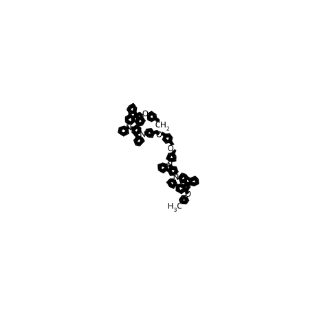 C=Cc1ccc(OCCC2(c3ccccc3)c3ccccc3-c3ccc(N(c4ccccc4)c4ccc5c(c4)c4ccccc4n5-c4ccc(COCc5ccc(COCc6ccc(-n7c8ccccc8c8cc(N(c9ccccc9)c9ccc%10c(c9)C(CCOc9ccc(C)cc9)(c9ccccc9)c9ccccc9-%10)ccc87)cc6)cc5)cc4)cc32)cc1